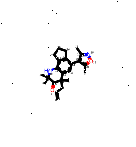 C=CCC1(C)C(=O)C(C)(C)Nc2c1cc(-c1c(C)noc1C)c1c2CCC1